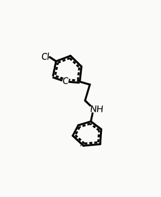 Clc1ccc(CCNc2cc[c]cc2)cc1